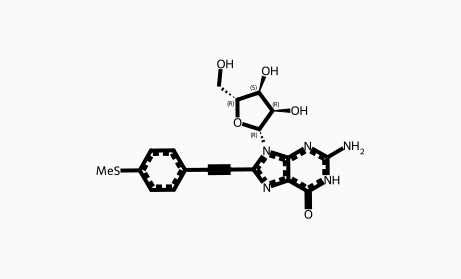 CSc1ccc(C#Cc2nc3c(=O)[nH]c(N)nc3n2[C@@H]2O[C@H](CO)[C@@H](O)[C@H]2O)cc1